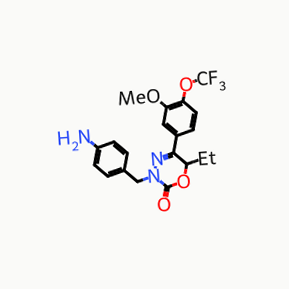 CCC1OC(=O)N(Cc2ccc(N)cc2)N=C1c1ccc(OC(F)(F)F)c(OC)c1